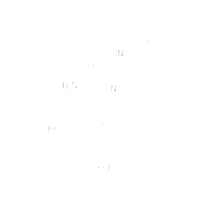 NC1[C@@H](O)[C@@H](CO)O[C@H]1n1ccc(=O)[nH]c1=O